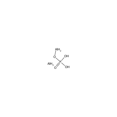 O=P(O)(O)[O][AlH2].[AlH3]